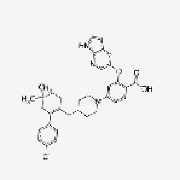 CC1(C)CCC(CC2CCN(c3ccc(C(=O)O)c(Oc4cnc5[nH]ccc5c4)c3)CC2)=C(c2ccc(Cl)cc2)C1